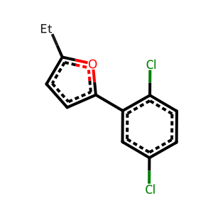 CCc1ccc(-c2cc(Cl)ccc2Cl)o1